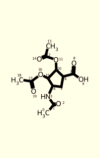 CC(=O)NC1CC(C(=O)O)C(OC(C)=O)C1OC(C)=O